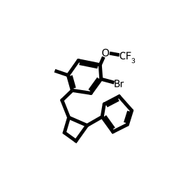 Cc1cc(OC(F)(F)F)c(Br)cc1CC1CCC1c1ccccc1